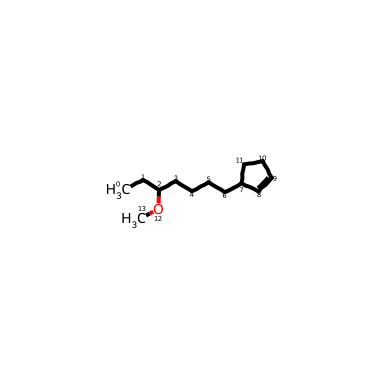 CCC(CCCCC1C=CCC1)OC